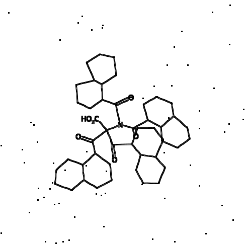 O=C(C1CCCC2CCCCC21)N(C(=O)C1CCCC2CCCCC21)C(C(=O)O)(C(=O)C1CCCC2CCCCC21)C(=O)C1CCCC2CCCCC21